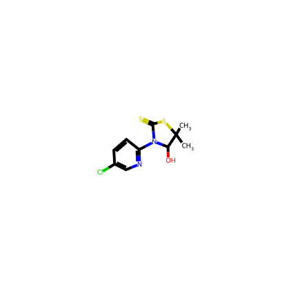 CC1(C)SC(=S)N(c2ccc(Cl)cn2)C1O